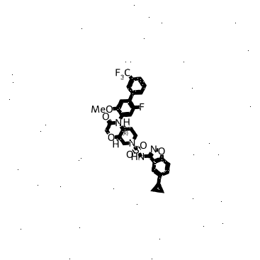 COc1cc(-c2cccc(C(F)(F)F)c2)c(F)cc1N1C(=O)CO[C@@H]2CN(S(=O)(=O)Nc3noc4ccc(C5CC5)cc34)CC[C@H]21